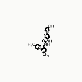 CC1CCN(c2nc(C(F)(F)F)ccc2CNC(=O)Nc2ccc(N3CC[C@H](O)C3)nc2)CC1